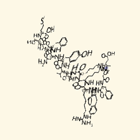 CSCC[C@H](NC(=O)[C@@H](NC(=O)C(C)NC(=O)[C@H](Cc1ccccc1)NC(=O)[C@H](CC(N)=O)NC(=O)[C@H](Cc1ccc(O)cc1)NC(=O)[C@@H](NC(=O)[C@H](C)NC(=O)[C@H](CCCCN)NC(=O)C(CCCCN)NC(=O)[C@H](CCCCCNC(=N)N)NC(=O)C(Cc1ccccc1)NC(=O)[C@H](Cc1ccccc1)NC(=O)CO/N=C(\C)CCC(=O)O)C(C)C)[C@@H](C)O)C(=O)O